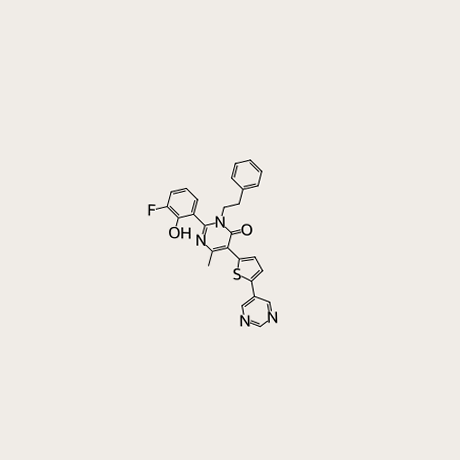 Cc1nc(-c2cccc(F)c2O)n(CCc2ccccc2)c(=O)c1-c1ccc(-c2cncnc2)s1